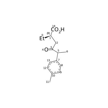 CC[C@H](CC(=O)C(C)c1ccc(C)cc1)C(=O)O